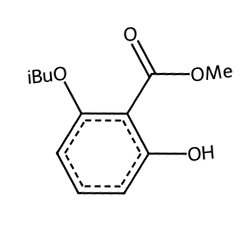 COC(=O)c1c(O)cccc1OCC(C)C